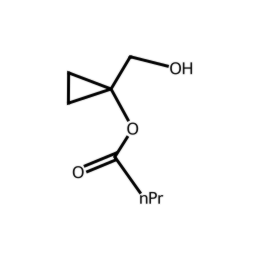 CCCC(=O)OC1(CO)CC1